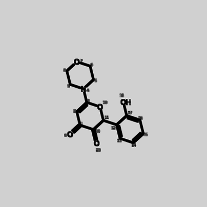 O=C1C=C(N2CCOCC2)OC(c2ccccc2O)C1=O